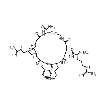 CC(=O)NCCC[C@@H]1NC(=O)[C@@H](NC(=O)[C@H](CCCNC(=N)N)NC(C)=O)CCC(=O)NCCC[C@@H](C(N)=O)NC(=O)CNC(=O)[C@H](CCCNC(=N)N)NC(=O)[C@@H](Cc2ccccc2)NC1=O